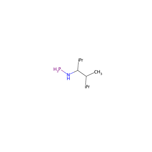 CC(C)C(C)C(NP)C(C)C